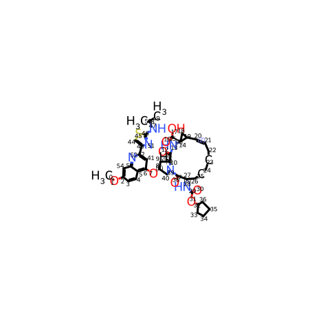 COc1ccc2c(O[C@@H]3C[C@H]4C(=O)N[C@]5(C(=O)O)CC5/C=C\CCCCC[C@H](NC(=O)OC5CCCC5)C(=O)N4C3)cc(-c3csc(NC(C)C)n3)nc2c1